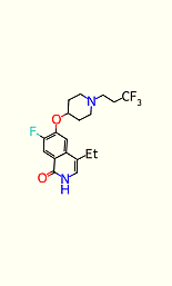 CCc1c[nH]c(=O)c2cc(F)c(OC3CCN(CCC(F)(F)F)CC3)cc12